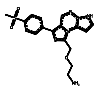 CS(=O)(=O)c1ccc(-c2nc(COCCN)n3c2cnc2[nH]ccc23)cc1